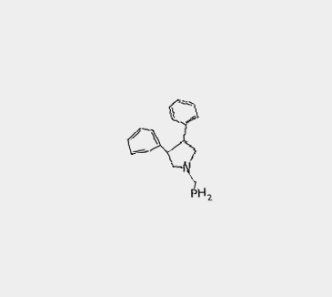 PCN1CC(c2ccccc2)C(c2ccccc2)C1